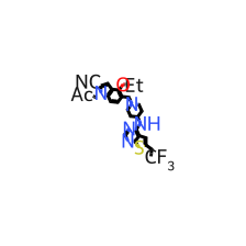 CCOc1c(CN2CCC(Nc3ncnc4sc(CC(F)(F)F)cc34)CC2)ccc2c1cc(C#N)n2CC(C)=O